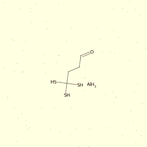 O=CCCC(S)(S)S.[AlH3]